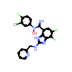 N=C(c1cc(F)c(F)c2nc(NCc3ccccn3)[nH]c12)N(O)c1ccc(F)c(Cl)c1